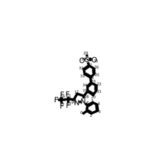 Cc1ccccc1N1N=C(C(F)(F)C(F)(F)F)CC1c1cccc(-c2ccc(S(C)(=O)=O)cc2)c1